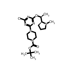 C[C@H](Oc1nc(Cl)nc(N2CCN(C(=O)OC(C)(C)C)CC2)n1)[C@@H]1CCCN1C